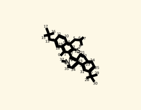 Cc1c2c(c(CC(C)C)c3ccc(CC(C)(C)C)cc13)Sc1cc3ccc(C(C)(C)C)cc3c3cc[n+](C)c-2c13